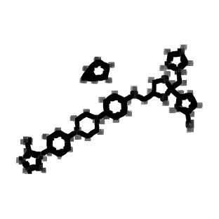 CCc1nnnn1-c1ccc(N2CCN(c3ccc(OCC4COC(Cn5cncn5)(c5ccc(Cl)s5)O4)cc3)CC2)cc1.c1cc2cc-2c1